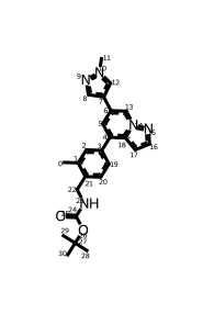 Cc1cc(-c2cc(-c3cnn(C)c3)cn3nccc23)ccc1CNC(=O)OC(C)(C)C